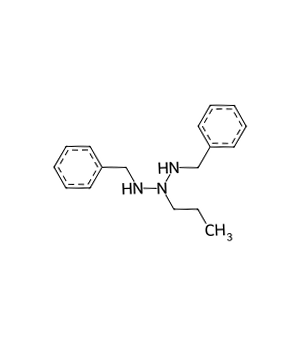 CCCN(NCc1ccccc1)NCc1ccccc1